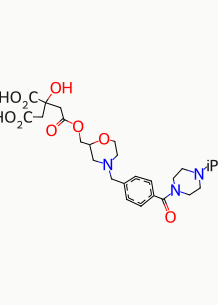 CC(C)N1CCN(C(=O)c2ccc(CN3CCOC(COC(=O)CC(O)(CC(=O)O)C(=O)O)C3)cc2)CC1